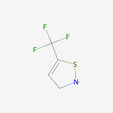 FC(F)(F)C1=CC[N]S1